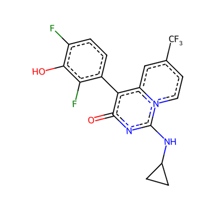 O=c1nc(NC2CC2)n2ccc(C(F)(F)F)cc2c1-c1ccc(F)c(O)c1F